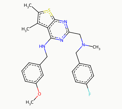 COc1cccc(CNc2nc(CN(C)Cc3ccc(F)cc3)nc3sc(C)c(C)c23)c1